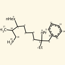 CCCCCCC(CCCCC(CC)(CCC)Cc1ccccc1)C(C)CP